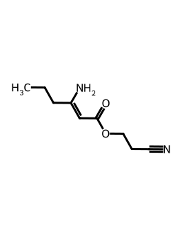 CCCC(N)=CC(=O)OCCC#N